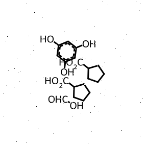 O=C(O)C1CCCC1.O=C(O)C1CCCC1.O=CO.Oc1cc(O)cc(O)c1